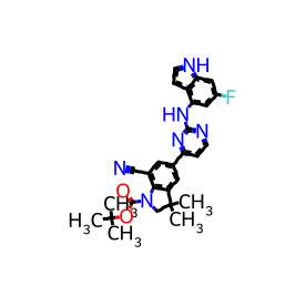 CC(C)(C)OC(=O)N1CC(C)(C)c2cc(-c3ccnc(Nc4cc(F)cc5[nH]ccc45)n3)cc(C#N)c21